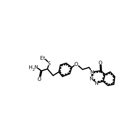 CCSC(Cc1ccc(OCCn2nnc3ccccc3c2=O)cc1)C(N)=O